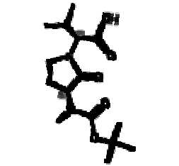 CC(C)[C@@H](C(=O)O)N1CC[C@H](N(C)C(=O)OC(C)(C)C)C1=O